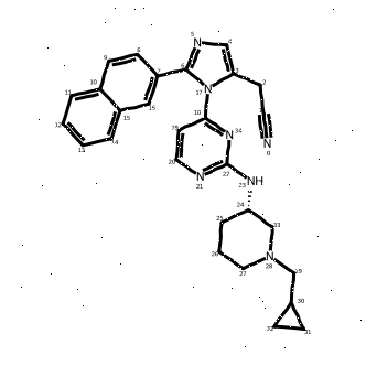 N#CCc1cnc(-c2ccc3ccccc3c2)n1-c1ccnc(N[C@H]2CCCN(CC3CC3)C2)n1